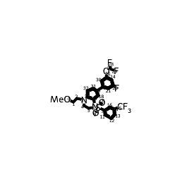 COCCN1CCN(S(=O)(=O)c2cccc(C(F)(F)F)c2)c2cc(-c3cc(F)cc(OC(F)F)c3)ccc21